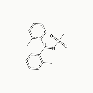 Cc1ccccc1[PH](=NS(C)(=O)=O)c1ccccc1C